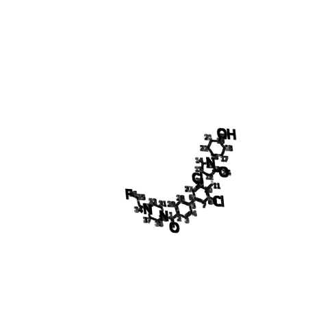 O=C(c1ccc(-c2cc(Cl)c(C[C@@H]3CCN([C@H]4CC[C@H](O)CC4)C3=O)c(Cl)c2)cc1)N1CCN(CCF)CC1